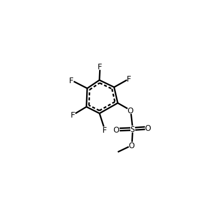 COS(=O)(=O)Oc1c(F)c(F)c(F)c(F)c1F